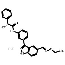 CCON=Cc1ccc2[nH]nc(-c3cccc(NC(=O)[C@H](O)c4ccccc4)c3)c2c1.Cl